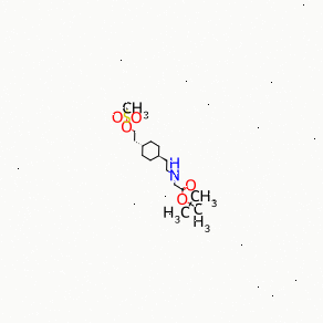 CC(C)(C)OC(=O)CNCC[C@H]1CC[C@H](CCOS(C)(=O)=O)CC1